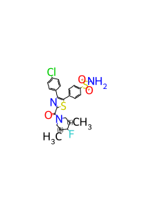 C[C@@H]1CN(C(=O)c2nc(-c3ccc(Cl)cc3)c(-c3ccc(S(N)(=O)=O)cc3)s2)C[C@H](C)C1F